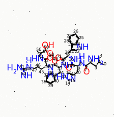 CC(C)C[C@H](N)C(=O)N[C@@H](Cc1c[nH]cn1)C(=O)N[C@@H](Cc1c[nH]c2ccccc12)C(=O)N[C@@H](Cc1ccccc1)C(=O)N[C@@H](CCCNC(=N)N)C(=O)N[C@@H](C)C(=O)O